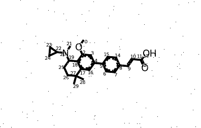 COc1cc(-c2ccc(/C=C/C(=O)O)cc2)cc2c1C(N(C)C1CC1)CCC2(C)C